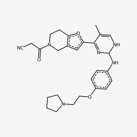 CC1=CNC(Nc2ccc(OCCN3CCCC3)cc2)N=C1c1cc2c(o1)CCN(C(=O)CC#N)C2